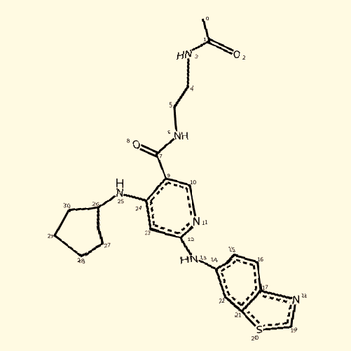 CC(=O)NCCNC(=O)c1cnc(Nc2ccc3ncsc3c2)cc1NC1CCCC1